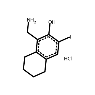 Cl.NCc1c(O)c(I)cc2c1CCCC2